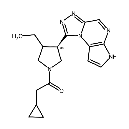 CCC1CN(C(=O)CC2CC2)C[C@@H]1c1nnc2cnc3[nH]ccc3n12